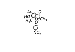 CC(=O)c1cc2c(c(C)c1O)OC(C)(COc1ccc([N+](=O)[O-])cc1)CC2=O